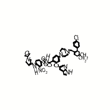 CC1(C)CCC(CN2CCN(c3ccc(C(=O)NS(=O)(=O)c4ccc(N[C@H]5CCN(C6COC6)C5)c([N+](=O)[O-])c4)c(Oc4cnc5[nH]ccc5c4)c3)CC2)=C(c2ccc(Cl)cc2)C1